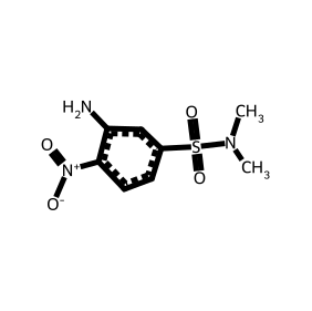 CN(C)S(=O)(=O)c1ccc([N+](=O)[O-])c(N)c1